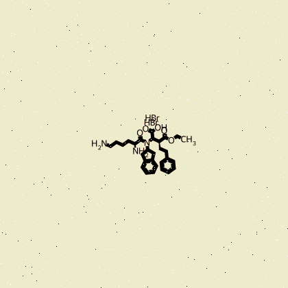 Br.Br.CCOC(=O)[C@@H](CCc1ccccc1)C(C(=O)O)N(C(=O)[C@@H](N)CCCCN)C1Cc2ccccc2C1